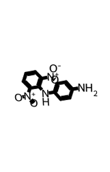 Nc1ccc(Nc2c([N+](=O)[O-])cccc2[N+](=O)[O-])cc1